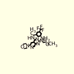 COCCNc1nc(N[C@H](C)c2cc(N)cc(C(F)(F)F)c2)c2cc(N3CCOCC3)ncc2n1